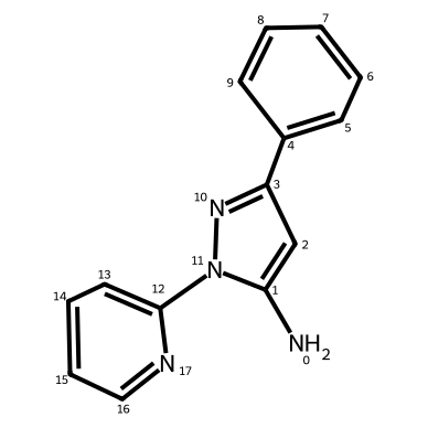 Nc1cc(-c2ccccc2)nn1-c1ccccn1